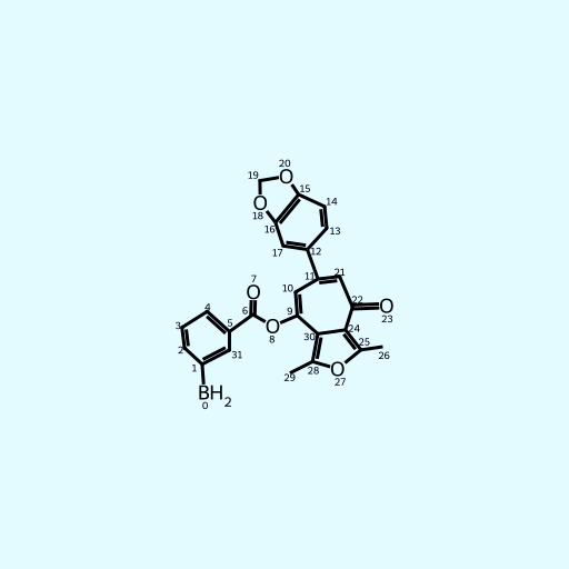 Bc1cccc(C(=O)Oc2cc(-c3ccc4c(c3)OCO4)cc(=O)c3c(C)oc(C)c23)c1